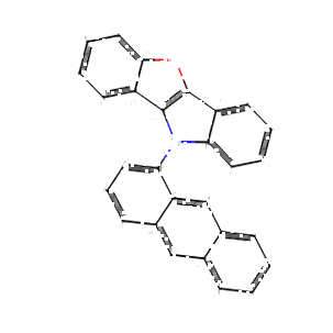 c1ccc2cc3c(-n4c5ccccc5c5oc6ccccc6c54)cccc3cc2c1